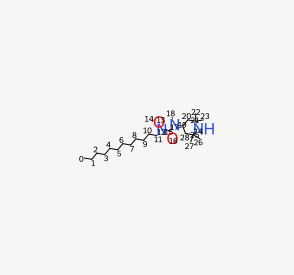 CCCCCCCCCCCCN(OC)C(=O)N(C)C1CC(C)(C)NC(C)(C)C1